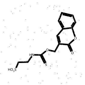 O=c1oc2ccccc2cc1COC(=S)NCCS(=O)(=O)O